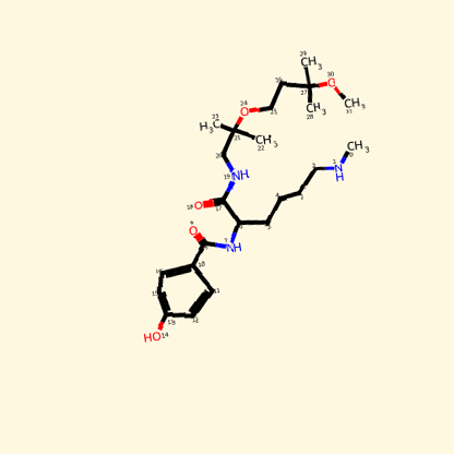 CNCCCCC(NC(=O)c1ccc(O)cc1)C(=O)NCC(C)(C)OCCC(C)(C)OC